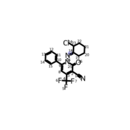 N#Cc1c(C(F)(F)F)cc(-c2ccccc2)n(/N=C2\CCCCC2Cl)c1=O